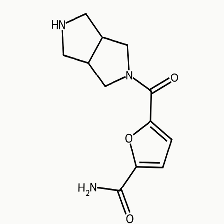 NC(=O)c1ccc(C(=O)N2CC3CNCC3C2)o1